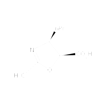 CCC[C@@H]1N=C(C)O[C@@H]1C(=O)O